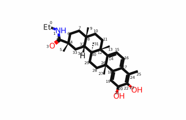 CCNC(=O)[C@]1(C)CC[C@]2(C)CC[C@]3(C)C4=CC=C5C(=CC(O)C(O)=C5C)[C@]4(C)CC[C@@]3(C)[C@@H]2C1